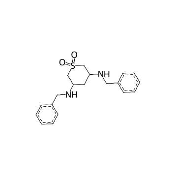 O=S1(=O)CC(NCc2ccccc2)CC(NCc2ccccc2)C1